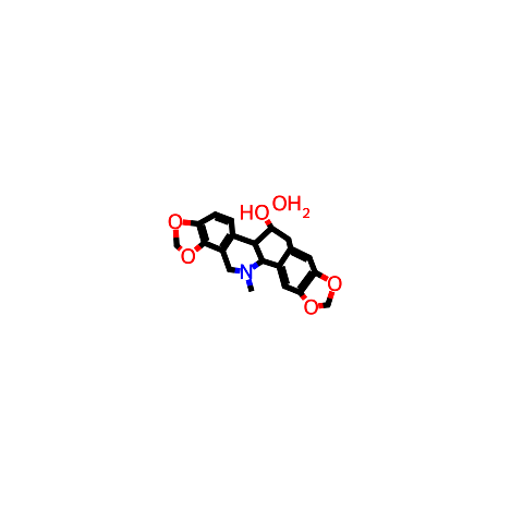 CN1Cc2c(ccc3c2OCO3)C2C(O)Cc3cc4c(cc3C21)OCO4.O